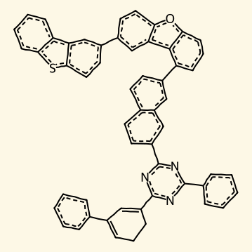 C1=C(c2ccccc2)C=C(c2nc(-c3ccccc3)nc(-c3ccc4ccc(-c5cccc6oc7ccc(-c8ccc9sc%10ccccc%10c9c8)cc7c56)cc4c3)n2)CC1